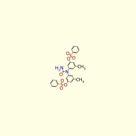 Cc1cc(OS(=O)(=O)c2ccccc2)cc(N(C(N)=O)c2cc(C)cc(OS(=O)(=O)c3ccccc3)c2)c1